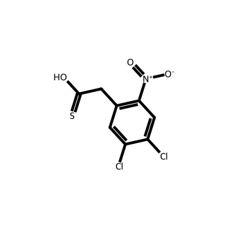 O=[N+]([O-])c1cc(Cl)c(Cl)cc1CC(O)=S